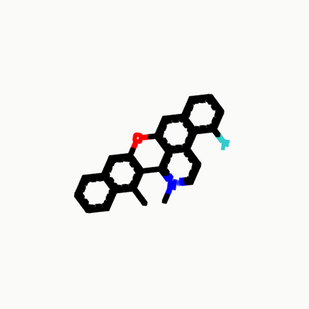 Cc1c2c(cc3ccccc13)Oc1cc3cccc(F)c3c3cc[n+](C)c-2c13